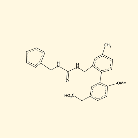 COc1ccc(CC(=O)O)cc1-c1ccc(C)cc1CNC(=O)NCc1ccccc1